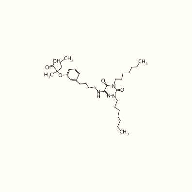 CCCCCCCn1nc(NCCCCc2cccc(OC(C)(CCC)C(=O)O)c2)c(=O)n(CCCCCCC)c1=O